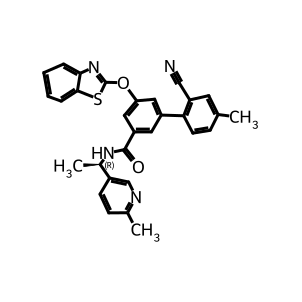 Cc1ccc(-c2cc(Oc3nc4ccccc4s3)cc(C(=O)N[C@H](C)c3ccc(C)nc3)c2)c(C#N)c1